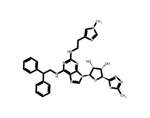 Cc1nnc([C@H]2O[C@@H](n3cnc4c(NCC(c5ccccc5)c5ccccc5)nc(NCCc5cn(C)cn5)nc43)[C@H](O)[C@@H]2O)s1